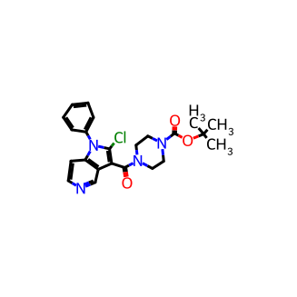 CC(C)(C)OC(=O)N1CCN(C(=O)c2c(Cl)n(-c3ccccc3)c3ccncc23)CC1